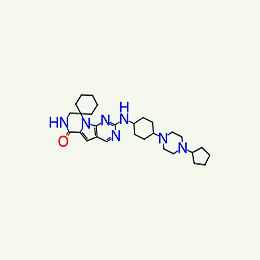 O=C1NCC2(CCCCC2)n2c1cc1cnc(NC3CCC(N4CCN(C5CCCC5)CC4)CC3)nc12